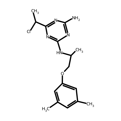 Cc1cc(C)cc(OCC(C)Nc2nc(N)nc(C(C)Cl)n2)c1